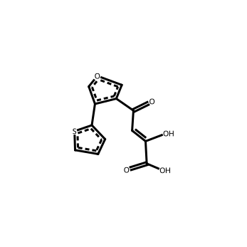 O=C(O)C(O)=CC(=O)c1cocc1-c1cccs1